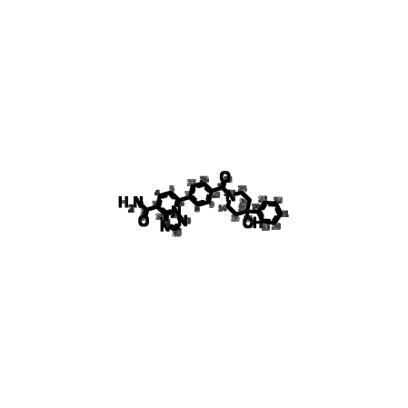 NC(=O)c1ccc(-c2ccc(C(=O)N3CCC(O)(c4ccccc4)CC3)cc2)n2n[c]nc12